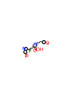 COc1ccc(CCCN2CC[C@@H](CC[C@H](F)c3ccnc4ccc(OC)cc34)[C@@H](C(=O)O)C2)cc1